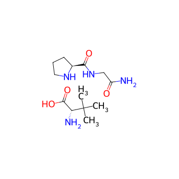 CC(C)(C)[C@H](N)C(=O)O.NC(=O)CNC(=O)[C@@H]1CCCN1